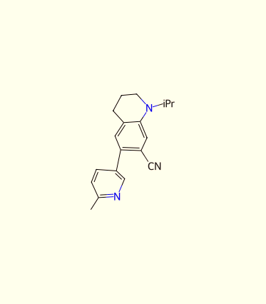 Cc1ccc(-c2cc3c(cc2C#N)N(C(C)C)CCC3)cn1